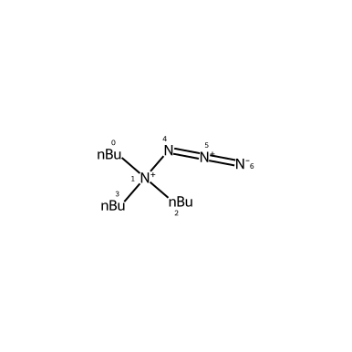 CCCC[N+](CCCC)(CCCC)N=[N+]=[N-]